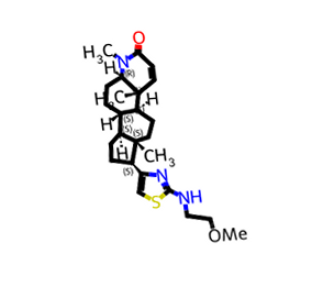 COCCNc1nc([C@H]2CC[C@H]3[C@@H]4CC[C@H]5N(C)C(=O)C=C[C@]5(C)[C@H]4CC[C@]23C)cs1